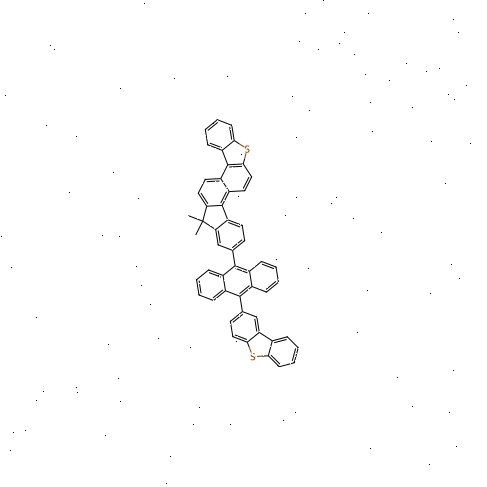 CC1(C)c2cc(-c3c4ccccc4c(-c4ccc5sc6ccccc6c5c4)c4ccccc34)ccc2-c2c1ccc1c2ccc2sc3ccccc3c21